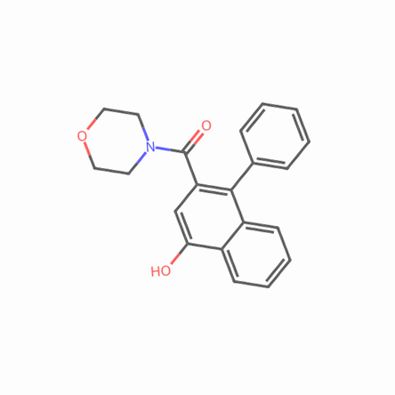 O=C(c1cc(O)c2ccccc2c1-c1ccccc1)N1CCOCC1